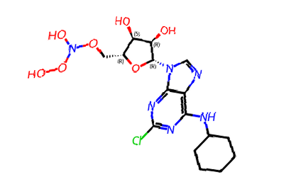 OON(O)OC[C@H]1O[C@@H](n2cnc3c(NC4CCCCC4)nc(Cl)nc32)[C@H](O)[C@@H]1O